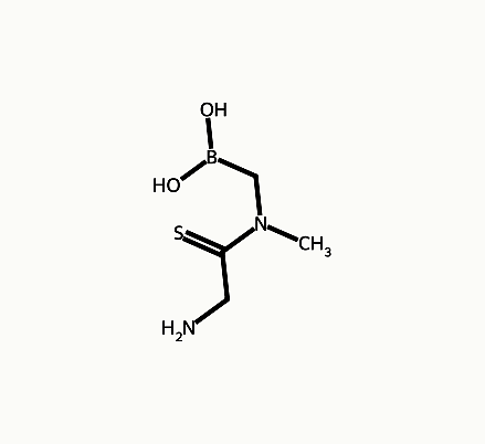 CN(CB(O)O)C(=S)CN